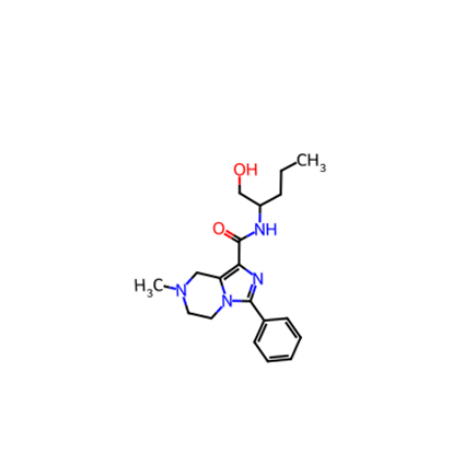 CCCC(CO)NC(=O)c1nc(-c2ccccc2)n2c1CN(C)CC2